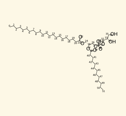 CCCCCCCCCCCCCCCCCCCCCC(=O)OC[C@H](COP(=O)(O)OC[C@@H](O)CO)OC(=O)CCCCCCCCCCCC